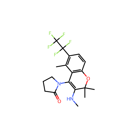 CNC1=C(N2CCCC2=O)c2c(ccc(C(F)(F)C(F)(F)F)c2C)OC1(C)C